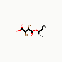 CCC(C)OC(=O)C(S)C(S)C(=O)O